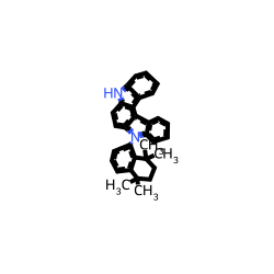 CC1(C)CCC(C)(C)c2c(-n3c4ccccc4c4c5c(ccc43)[nH]c3ccccc35)cccc21